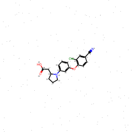 N#Cc1ccc(Oc2cccc(N3CCCC3CC(=O)O)c2)c(Cl)c1